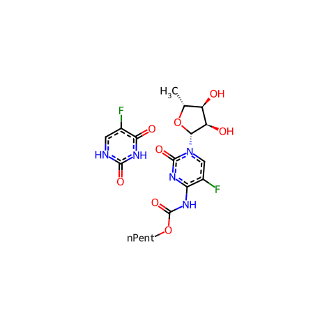 CCCCCOC(=O)Nc1nc(=O)n([C@@H]2O[C@H](C)[C@@H](O)[C@H]2O)cc1F.O=c1[nH]cc(F)c(=O)[nH]1